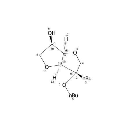 CCCCO[C@@]1(CCCC)CO[C@@H]2[C@H](O)CO[C@@H]21